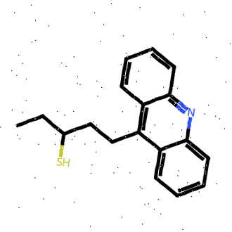 CCC(S)CCc1c2ccccc2nc2ccccc12